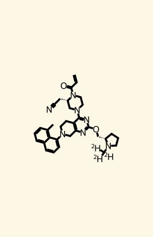 [2H]C([2H])([2H])N1CCC[C@H]1COc1nc2c(c(N3CCN(C(=O)C=C)[C@@H](CC#N)C3)n1)CCN(c1cccc3cccc(C)c13)C2